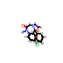 CC1CN2CC(=O)N(I)c3ccc(Cl)cc3C2(c2ccccc2)O1